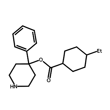 CCC1CCC(C(=O)OC2(c3ccccc3)CCNCC2)CC1